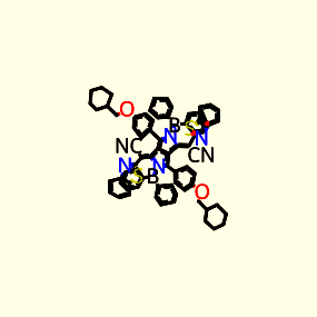 N#C/C(C1=NC2C=CC=CC2S1)=c1\c2c(-c3ccc(OCC4CCCCC4)cc3)n(B(c3ccccc3)c3ccccc3)/c(=C(/C#N)c3nc4ccccc4s3)c2c(-c2ccc(OCC3CCCCC3)cc2)n1B(c1ccccc1)c1ccccc1